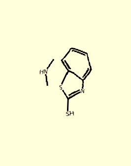 CNC.Sc1nc2ccccc2s1